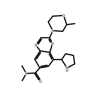 CC1CN(c2cnc3cc(C(=O)N(C)C)cc(C4CCCN4)c3n2)CCO1